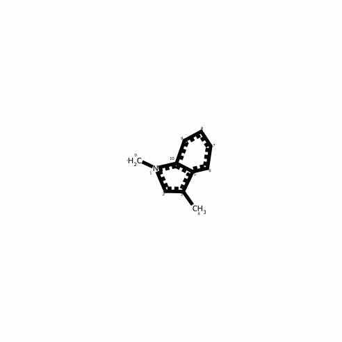 [CH2]n1cc(C)c2ccccc21